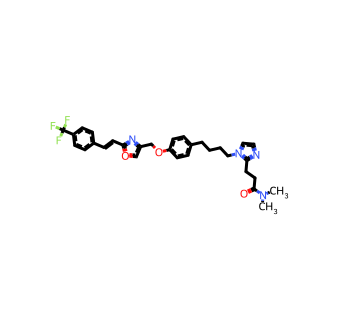 CN(C)C(=O)CCc1nccn1CCCCc1ccc(OCc2coc(/C=C/c3ccc(C(F)(F)F)cc3)n2)cc1